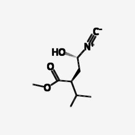 [C-]#[N+][C@@H](O)C[C@H](C(=O)OC)C(C)C